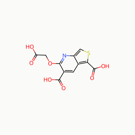 O=C(O)COc1nc2csc(C(=O)O)c2cc1C(=O)O